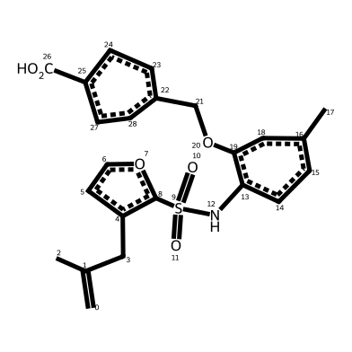 C=C(C)Cc1ccoc1S(=O)(=O)Nc1ccc(C)cc1OCc1ccc(C(=O)O)cc1